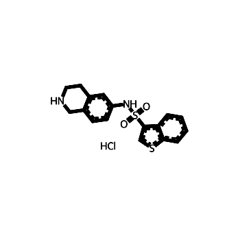 Cl.O=S(=O)(Nc1ccc2c(c1)CCNC2)c1csc2ccccc12